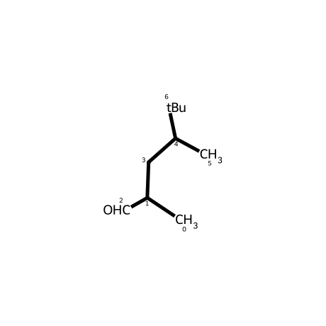 CC(C=O)CC(C)C(C)(C)C